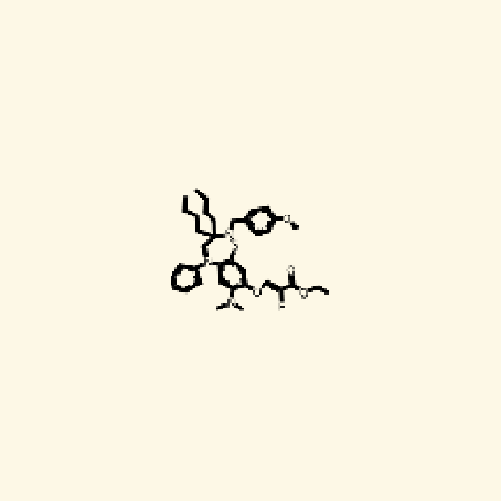 CCCCC1(CCCC)CN(c2ccccc2)c2cc(N(C)C)c(O/C=C(\F)C(=O)OCC)cc2SN1Cc1ccc(OC)cc1